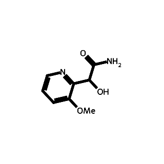 COc1cccnc1C(O)C(N)=O